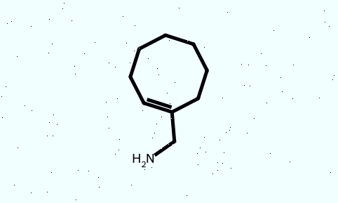 NC/C1=C/CCCCCC1